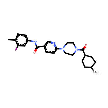 Cc1ccc(NC(=O)c2ccc(N3CCN(C(=O)C4CCC(C(=O)O)CC4)CC3)nc2)cc1I